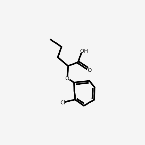 CCCC(Oc1ccccc1Cl)C(=O)O